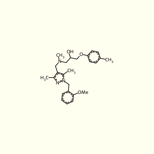 COc1ccccc1Cn1nc(C)c(CN(C)CC(O)COc2ccc(C)cc2)c1C